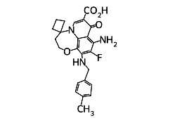 Cc1ccc(CNc2c(F)c(N)c3c(=O)c(C(=O)O)cn4c3c2OCCC42CCC2)cc1